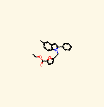 CCOC(=O)c1ccc(Cn2c(-c3ccccc3)cc3cc(C)ccc32)o1